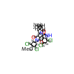 [2H]C([2H])([2H])C1(C([2H])([2H])[2H])CC2C3C(=O)N(c4cc(Cl)c(OC)c(Cl)c4)C(=O)C3C3(C(=O)Nc4c(Cl)cc(Cl)cc43)N2C1